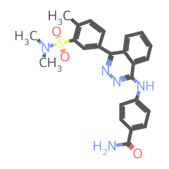 Cc1ccc(-c2nnc(Nc3ccc(C(N)=O)cc3)c3ccccc23)cc1S(=O)(=O)N(C)C